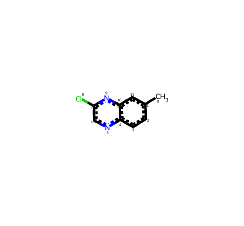 Cc1ccc2ncc(Cl)nc2c1